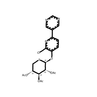 CC(=O)O[C@@H]1[C@@H](OC(C)=O)[C@H](OC(C)=O)CS[C@H]1Oc1ccc(-c2cncnc2)nc1Cl